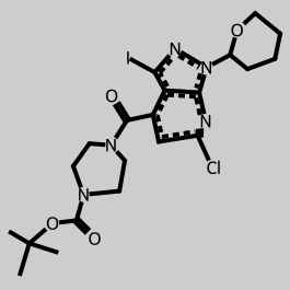 CC(C)(C)OC(=O)N1CCN(C(=O)c2cc(Cl)nc3c2c(I)nn3C2CCCCO2)CC1